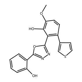 COc1ccc(-c2ccsc2)c(-c2nnc(-c3ccccc3O)o2)c1O